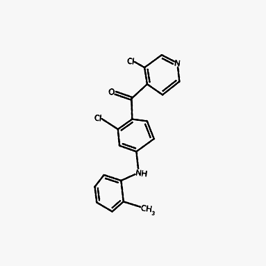 Cc1ccccc1Nc1ccc(C(=O)c2ccncc2Cl)c(Cl)c1